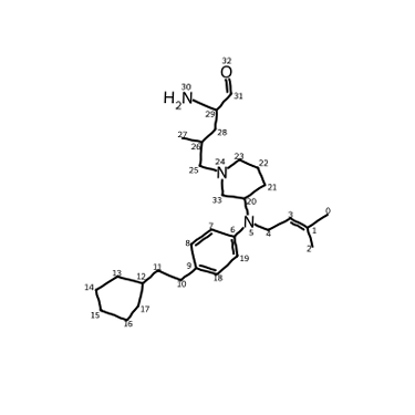 CC(C)=CCN(c1ccc(CCC2CCCCC2)cc1)C1CCCN(CC(C)CC(N)C=O)C1